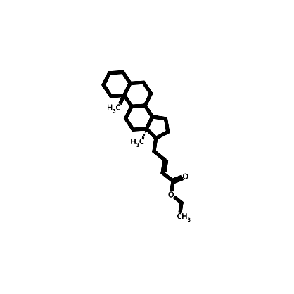 CCOC(=O)/C=C/CC1CCC2C3CCC4CCCCC4(C)C3CC[C@]12C